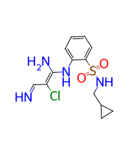 N=C/C(Cl)=C(\N)Nc1ccccc1S(=O)(=O)NCC1CC1